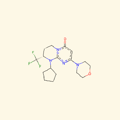 O=c1cc(N2CCOCC2)nc2n1CC[C@@H](C(F)(F)F)N2C1CCCC1